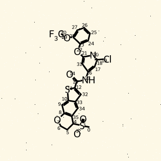 CS(=O)(=O)C1CCOc2cc3sc(C(=O)Nc4cc(Cl)nc(Oc5ccccc5OC(F)(F)F)c4)cc3cc21